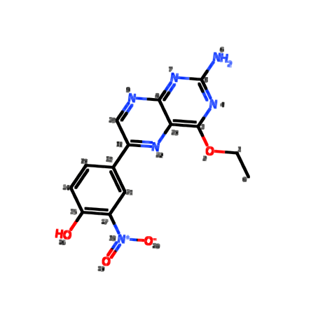 CCOc1nc(N)nc2ncc(-c3ccc(O)c([N+](=O)[O-])c3)nc12